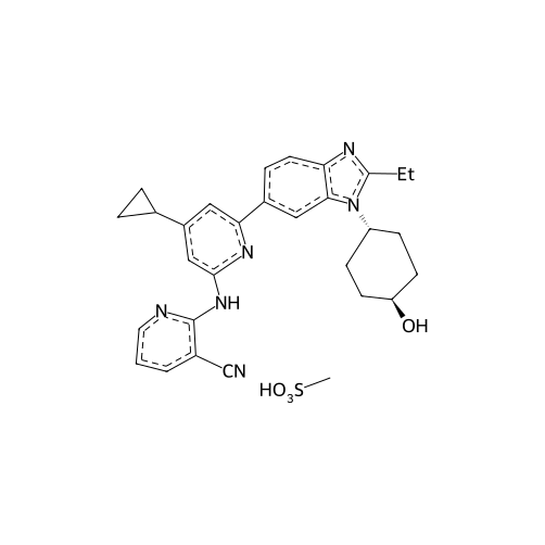 CCc1nc2ccc(-c3cc(C4CC4)cc(Nc4ncccc4C#N)n3)cc2n1[C@H]1CC[C@H](O)CC1.CS(=O)(=O)O